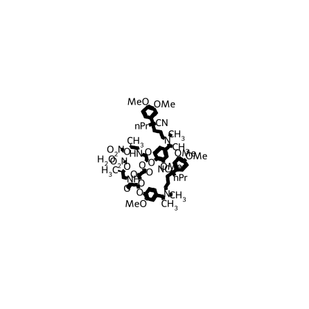 CCCC(C#N)(CCCN(C)C(C)c1ccc(OC(OC(=O)C(=O)OC(Oc2ccc(C(C)N(C)CCCC(C#N)(CCC)c3ccc(OC)c(OC)c3)cc2OC)C(=O)NC[C@@H](C)O[N+](=O)[O-])C(=O)NC[C@@H](C)O[N+](=O)[O-])c(OC)c1)c1ccc(OC)c(OC)c1.O